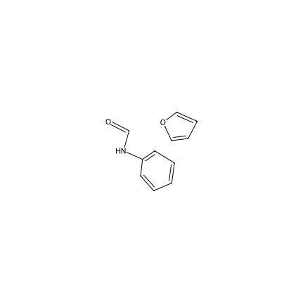 O=CNc1ccccc1.c1ccoc1